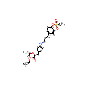 CCOC(=O)C(Cc1ccc(NCCCc2ccc(OS(C)(=O)=O)cc2)cc1)OC(C)C